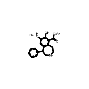 COC(=O)c1c(O)c(O)cc2c1CCNCC2c1ccccc1.Cl